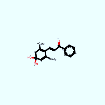 COC1=CC(O)(O)CC(OC)=C1C=CC(=O)c1ccccc1